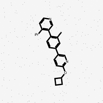 Cc1cc(-c2ccc(OC3CCC3)nc2)ccc1-c1cnccc1C(C)C